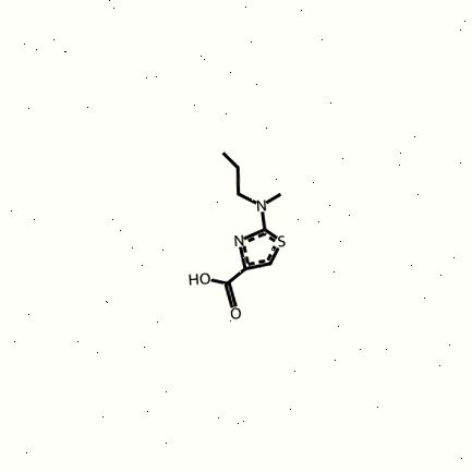 CCCN(C)c1nc(C(=O)O)cs1